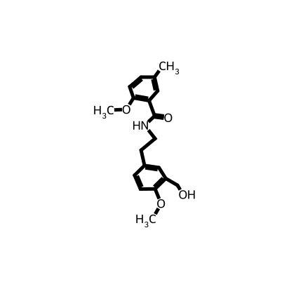 COc1ccc(CCNC(=O)c2cc(C)ccc2OC)cc1CO